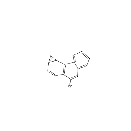 Brc1cc2ccccc2c2c1C=CC1=CC12